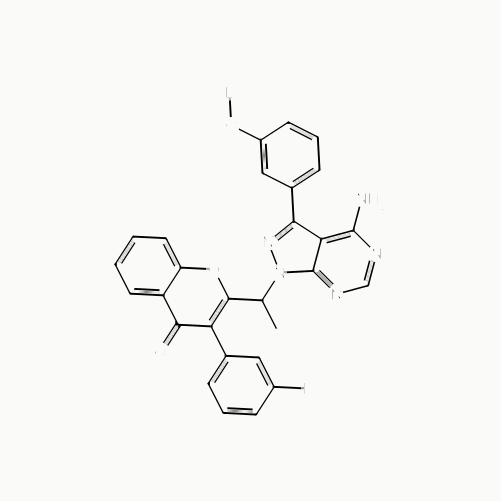 CCOc1cccc(-c2nn(C(C)c3oc4ccccc4c(=O)c3-c3cccc(F)c3)c3ncnc(N)c23)c1